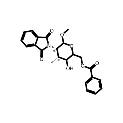 COC1OC(COC(=O)c2ccccc2)C(O)[C@H](C)[C@@H]1N1C(=O)c2ccccc2C1=O